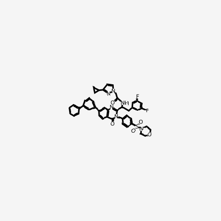 O=C(Cn1ccc(C2CC2)n1)NC(Cc1cc(F)cc(F)c1)c1nc2cc(-c3cccc(-c4ccccc4)c3)ccc2c(=O)n1-c1ccc(S(=O)(=O)N2CCOCC2)cc1